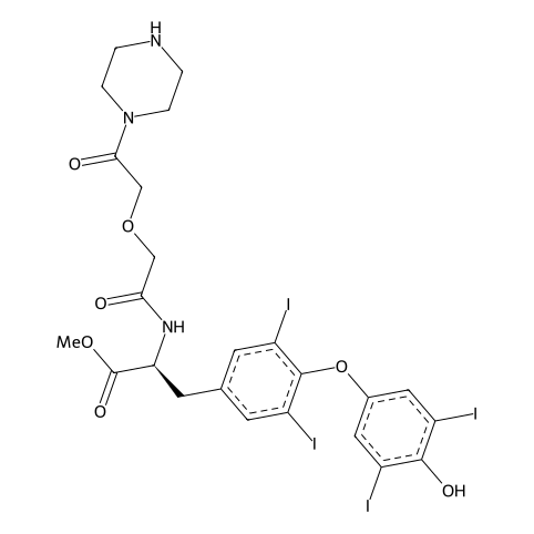 COC(=O)[C@H](Cc1cc(I)c(Oc2cc(I)c(O)c(I)c2)c(I)c1)NC(=O)COCC(=O)N1CCNCC1